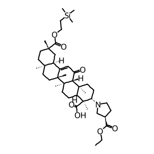 CCOC(=O)[C@@H]1CCN([C@H]2CC[C@@]3(C)[C@@H](CC[C@]4(C)[C@@H]3C(=O)C=C3[C@@H]5C[C@@](C)(C(=O)OCC[Si](C)(C)C)CC[C@]5(C)CC[C@]34C)[C@]2(C)C(=O)O)C1